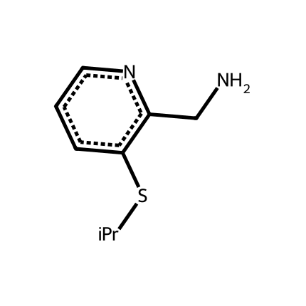 CC(C)Sc1cccnc1CN